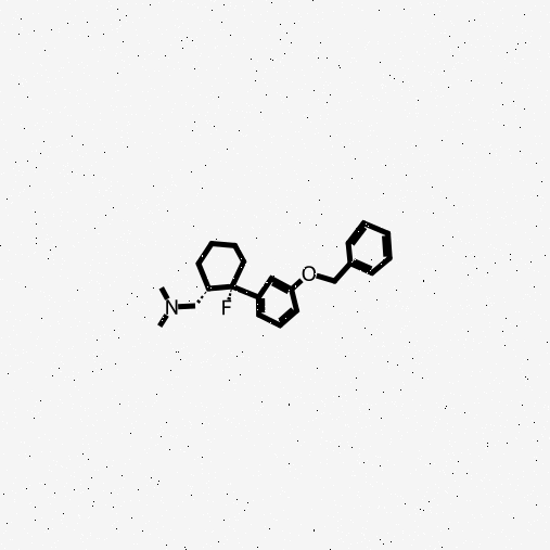 CN(C)C[C@@H]1CCCC[C@@]1(F)c1cccc(OCc2ccccc2)c1